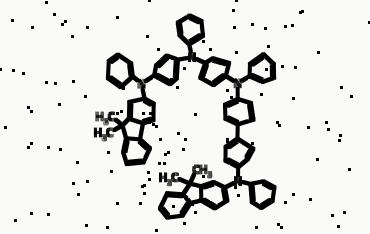 CC1(C)c2ccccc2-c2ccc(N(c3ccccc3)c3ccc(-c4ccc(N(c5ccccc5)c5ccc(N(c6ccccc6)c6ccc(N(c7ccccc7)c7ccc8c(c7)C(C)(C)c7ccccc7-8)cc6)cc5)cc4)cc3)cc21